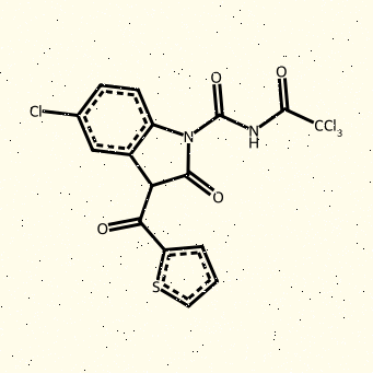 O=C(c1cccs1)C1C(=O)N(C(=O)NC(=O)C(Cl)(Cl)Cl)c2ccc(Cl)cc21